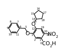 O=C(O)c1cc(OCc2ccccc2)c(OC2CCCC2)cc1[N+](=O)[O-]